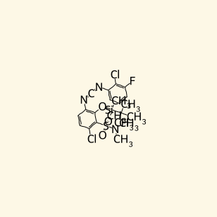 CN(C)S(=O)(=O)c1c(Cl)ccc(N=C=Nc2cccc(F)c2Cl)c1O[Si](C)(C)C(C)(C)C